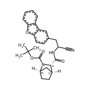 CC(C)(C)OC(=O)N1[C@@H]2CC[C@@H](C2)[C@H]1C(=O)NC(C#N)Cc1ccc2oc3ccccc3c2c1